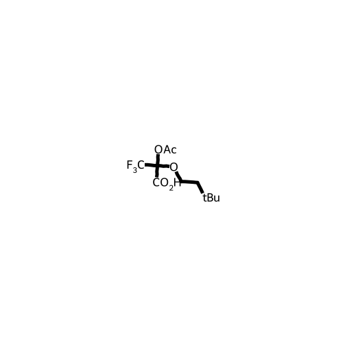 CC(=O)OC(OCCC(C)(C)C)(C(=O)O)C(F)(F)F